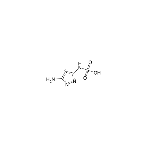 Nc1nnc(NS(=O)(=O)O)s1